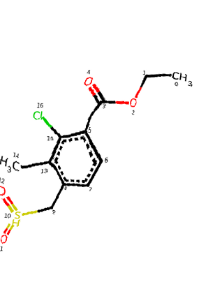 CCOC(=O)c1ccc(C[SH](=O)=O)c(C)c1Cl